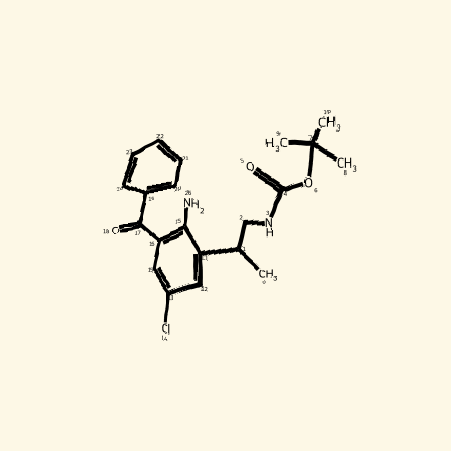 CC(CNC(=O)OC(C)(C)C)c1cc(Cl)cc(C(=O)c2ccccc2)c1N